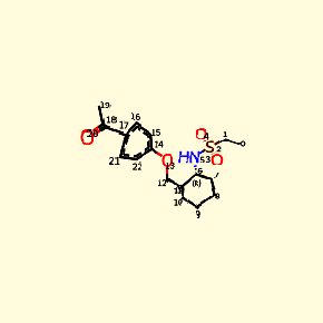 CCS(=O)(=O)N[C@@H]1CCCC[C@H]1COc1ccc(C(C)=O)cc1